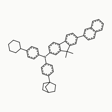 CC1(C)c2cc(-c3ccc4ccccc4c3)ccc2-c2ccc(N(c3ccc(C4CCCCC4)cc3)c3ccc(C45CCC(CC4)C5)cc3)cc21